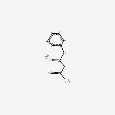 CC(=O)CC(=O)Cc1ccccc1.[Cs]